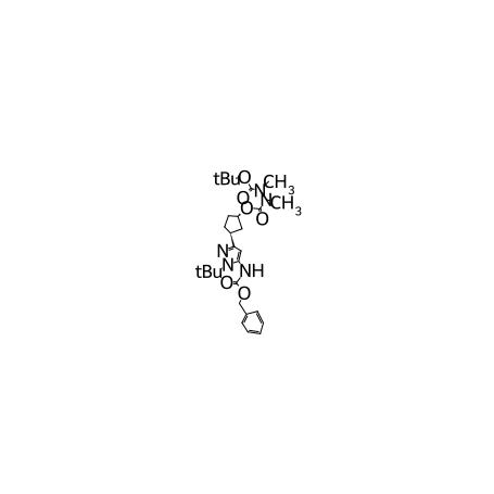 CN(C(=O)O[C@@H]1CC[C@H](c2cc(NC(=O)OCc3ccccc3)n(C(C)(C)C)n2)C1)N(C)C(=O)OC(C)(C)C